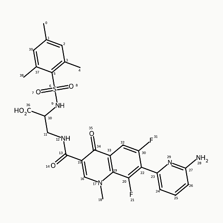 Cc1cc(C)c(S(=O)(=O)NC(CNC(=O)c2cn(C)c3c(F)c(-c4cccc(N)n4)c(F)cc3c2=O)C(=O)O)c(C)c1